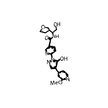 COc1cc(-c2cnn(-c3ccc(C(=O)NC(CO)C4CCOC4)cn3)c2O)ccn1